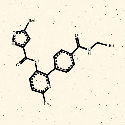 Cc1ccc(NC(=O)c2cc(C(C)(C)C)on2)c(-c2ccc(C(=O)NCC(C)(C)C)cc2)n1